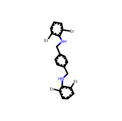 CCc1cccc(CC)c1NCc1ccc(CNc2c(CC)cccc2CC)cc1